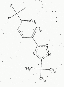 C=C(/C=C\C(=C)C(F)(F)F)c1nc(C(C)(C)C)no1